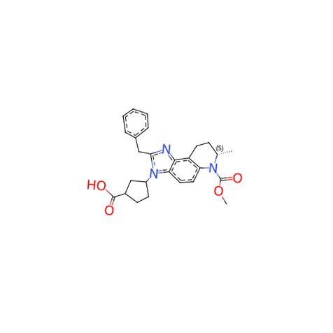 COC(=O)N1c2ccc3c(nc(Cc4ccccc4)n3C3CCC(C(=O)O)C3)c2CC[C@@H]1C